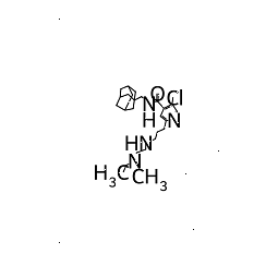 CCN(CC)CCNCCCc1cc(C(=O)NCC23CC4CC(CC(C4)C2)C3)c(Cl)cn1